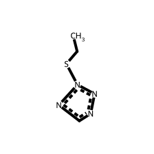 CCSn1ncnn1